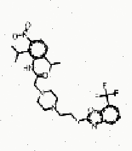 CC(C)c1ccc([N+](=O)[O-])c(C(C)C)c1NC(=O)CN1CCN(CCSc2nc3cccc(C(F)(F)F)c3o2)CC1